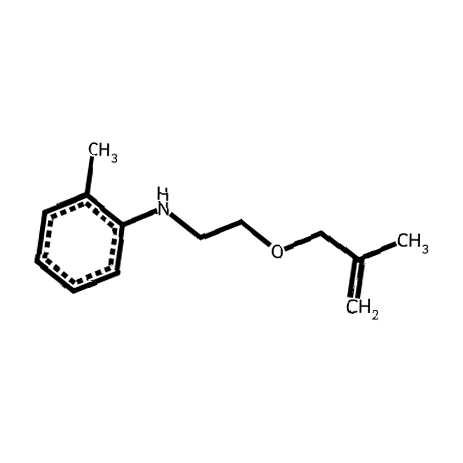 C=C(C)COCCNc1ccccc1C